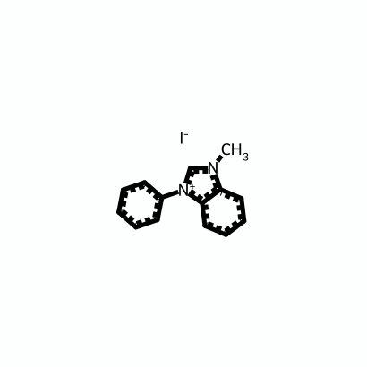 Cn1c[n+](-c2ccccc2)c2ccccc21.[I-]